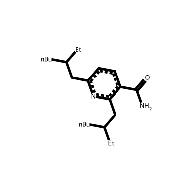 CCCCC(CC)Cc1ccc(C(N)=O)c(CC(CC)CCCC)n1